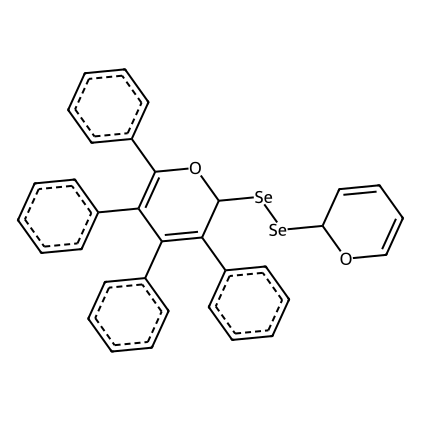 C1=COC([Se][Se]C2OC(c3ccccc3)=C(c3ccccc3)C(c3ccccc3)=C2c2ccccc2)C=C1